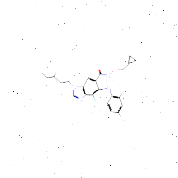 CCC(O)CCn1cnc2c(F)c(Nc3ccc(Br)cc3C)c(C(=O)NOCC3CC3)cc21